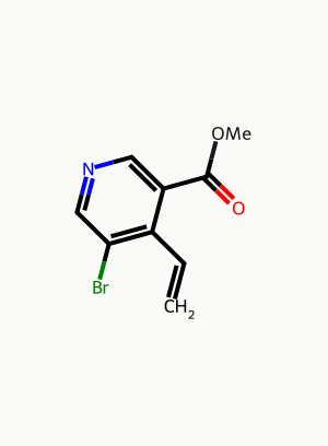 C=Cc1c(Br)cncc1C(=O)OC